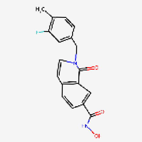 Cc1ccc(Cn2ccc3ccc(C(=O)NO)cc3c2=O)cc1F